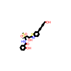 C[C@](CNC(=O)c1ccccc1O)(C[C@@H](O)c1nc2ccc(C#CC#CCO)cc2s1)S(C)(=O)=O